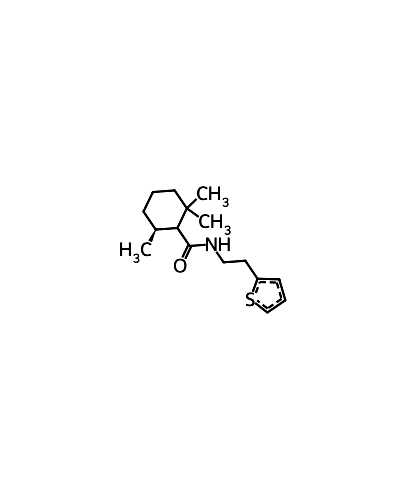 C[C@H]1CCCC(C)(C)C1C(=O)NCCc1cccs1